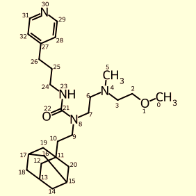 COCCN(C)CCN(CCC12CC3CC(CC(C3)C1)C2)C(=O)NCCCc1ccncc1